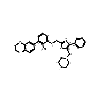 N#Cc1c(-c2ccc3c(c2)OCCO3)ccnc1OCc1nc(-c2ccccc2)c(CN2CCOCC2)s1